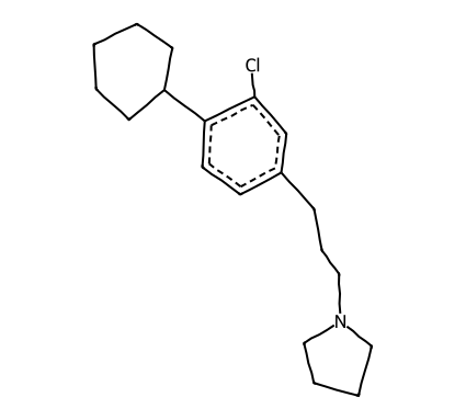 Clc1cc(CCCN2CCCC2)ccc1C1CCCCC1